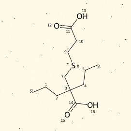 CCCC(CCC)(CSCCC(=O)O)C(=O)O